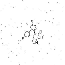 CN1CCC(CN(C(=O)O)c2ccc(F)cc2-c2ccc(F)cc2)C1